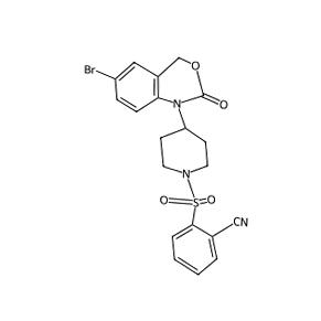 N#Cc1ccccc1S(=O)(=O)N1CCC(N2C(=O)OCc3cc(Br)ccc32)CC1